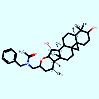 CC(=O)N(Cc1ccccc1)CC1C[C@@H](C)[C@H]2C(O1)[C@H](O)[C@@]1(C)C3CC[C@H]4C(C)(C)C(O)CCC45CC35CCC21C